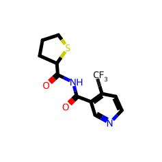 O=C(NC(=O)C1CCCS1)c1cnccc1C(F)(F)F